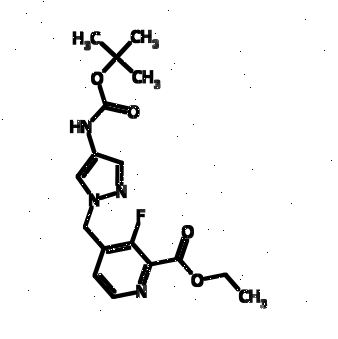 CCOC(=O)c1nccc(Cn2cc(NC(=O)OC(C)(C)C)cn2)c1F